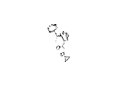 C[C@H](c1ccccc1)n1cncc1C(=O)COC1CC1